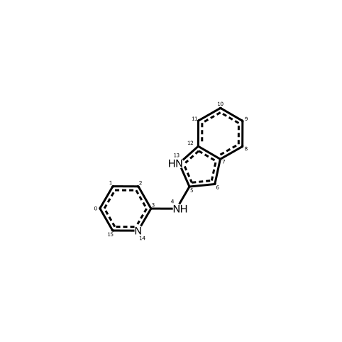 c1ccc(Nc2cc3ccccc3[nH]2)nc1